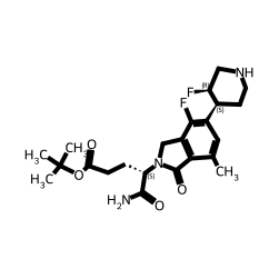 Cc1cc([C@@H]2CCNC[C@@H]2F)c(F)c2c1C(=O)N([C@@H](CCC(=O)OC(C)(C)C)C(N)=O)C2